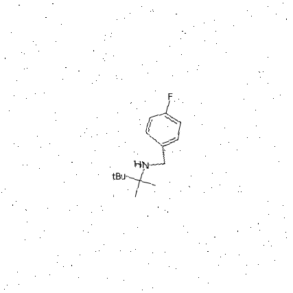 CC(C)(C)C(C)(C)NCc1ccc(F)cc1